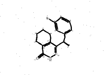 CC(c1cccc(Br)c1)c1n[nH]c(=O)c2c1CCCC2